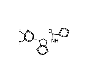 O=C(N[C@H]1C[C@@H](c2ccc(F)c(F)c2)c2ccccc21)c1ccccc1